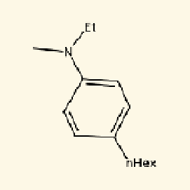 CCCCCCc1ccc(N(C)CC)cc1